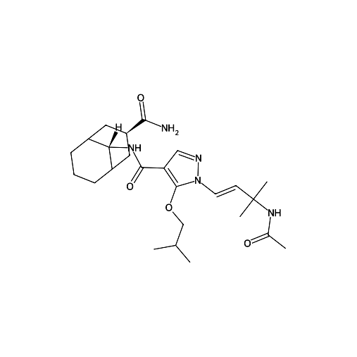 CC(=O)NC(C)(C)/C=C/n1ncc(C(=O)N[C@H]2C3CCCC2C[C@H](C(N)=O)C3)c1OCC(C)C